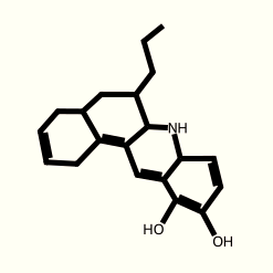 CCCC1CC2CC=CCC2=C2C=C3C(O)=C(O)C=CC3NC21